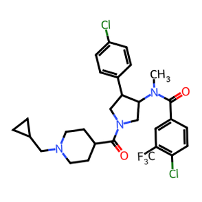 CN(C(=O)c1ccc(Cl)c(C(F)(F)F)c1)C1CN(C(=O)C2CCN(CC3CC3)CC2)CC1c1ccc(Cl)cc1